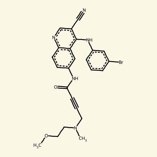 COCCN(C)CC#CC(=O)Nc1ccc2ncc(C#N)c(Nc3cccc(Br)c3)c2c1